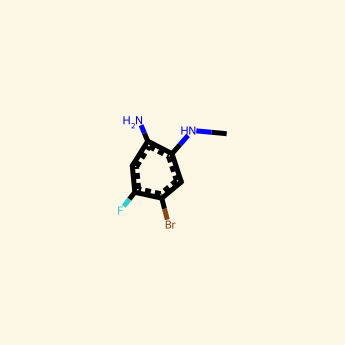 CNc1cc(Br)c(F)cc1N